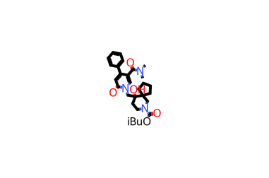 CC(C)COC(=O)N1CCC(O)(Cn2cc(C(=O)N(C)C)c(-c3ccccc3)cc2=O)C2(CCCC2)C1